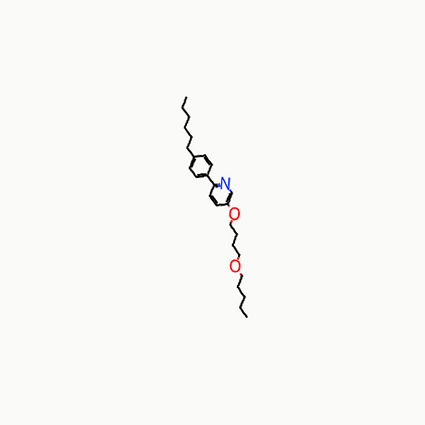 CCCCCCc1ccc(-c2ccc(OCCCCOCCCCC)cn2)cc1